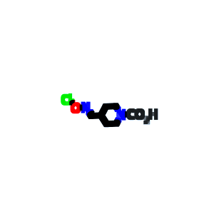 O=C(O)N1CCC(C=NOCl)CC1